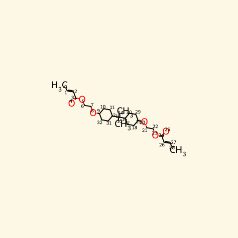 CC=CC(=O)OCCOC1CCC(C(C)(C)C2CCC(OCCOC(=O)C=CC)CC2)CC1